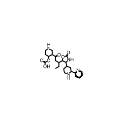 CCC(CC(=O)C1CNCCC1OC(=O)O)C1OC(=O)NC1C1CCNC(c2ccccn2)C1